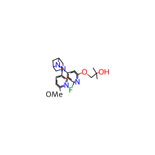 COc1ccc(CN2C3CC2CN(c2[c]c(F)nc(OCC(C)(C)O)c2)C3)cn1